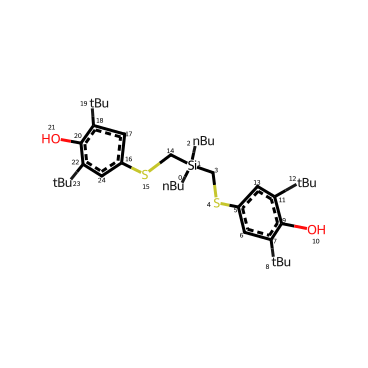 CCCC[Si](CCCC)(CSc1cc(C(C)(C)C)c(O)c(C(C)(C)C)c1)CSc1cc(C(C)(C)C)c(O)c(C(C)(C)C)c1